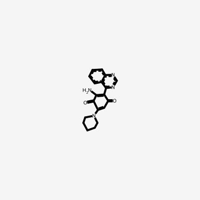 NC1=C(c2ncnc3ccccc23)C(=O)C=C(N2CCCCC2)C1=O